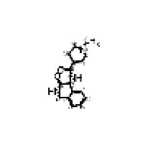 CN1CCC(C(=O)NC2C(=O)NCc3ccccc32)CC1